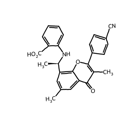 Cc1cc([C@@H](C)Nc2ccccc2C(=O)O)c2oc(-c3ccc(C#N)cc3)c(C)c(=O)c2c1